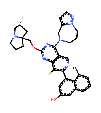 CCc1cccc2cc(O)cc(-c3ncc4c(N5CCCn6nccc6C5)nc(OC[C@@]56CCCN5C[C@H](F)C6)nc4c3F)c12